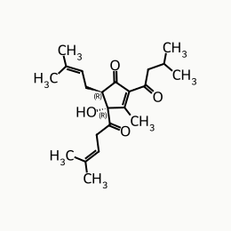 CC(C)=CCC(=O)[C@]1(O)C(C)=C(C(=O)CC(C)C)C(=O)[C@@H]1CC=C(C)C